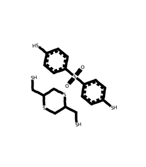 O=S(=O)(c1ccc(S)cc1)c1ccc(S)cc1.SCC1CSC(CS)CS1